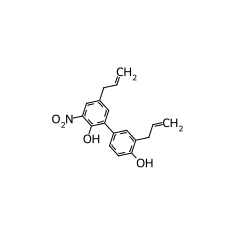 C=CCc1cc(-c2ccc(O)c(CC=C)c2)c(O)c([N+](=O)[O-])c1